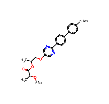 CCCCCCc1ccc(-c2ccc(-c3ncc(OC[C@H](C)OC(=O)C(C)OCCCC)cn3)cc2)cc1